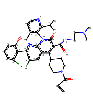 C=CC(=O)N1CCC(c2c(C(=O)NCCN(C)C)c(=O)n(-c3c(C)ccnc3C(C)C)c3nc(-c4c(O)cccc4F)c(F)cc23)CC1